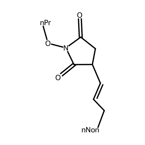 CCCCCCCCCCC=CC1CC(=O)N(OCCC)C1=O